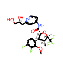 COc1c([C@H]2[C@H](C(=O)Nc3ccnc(C[C@H](O)CO)c3)O[C@@](C)(C(F)(F)F)[C@H]2C)ccc(F)c1F